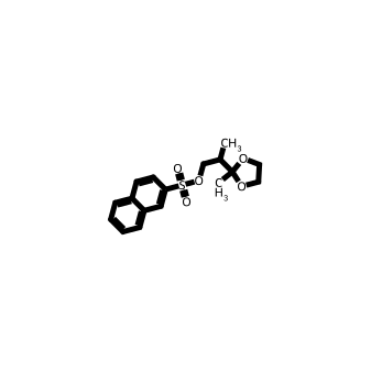 CC(COS(=O)(=O)c1ccc2ccccc2c1)C1(C)OCCO1